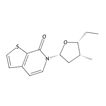 CC[C@H]1O[C@@H](n2ccc3ccsc3c2=O)C[C@H]1C